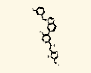 Nc1nnc(CNc2cc(-c3ccc4ncn(Cc5cccc(F)c5)c4c3)c(Cl)cn2)[nH]1